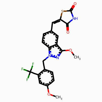 COc1ccc(Cn2nc(OC)c3cc(C=C4SC(=O)NC4=O)ccc32)c(C(F)(F)F)c1